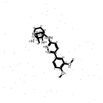 COc1ccc(-c2ccc(N[C@H]3C4CCN(CC4)[C@@H]3C)nn2)cc1OC